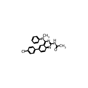 CC(=O)Nc1nc(N(C)c2ccccc2)c2cc(-c3ccc(Cl)cc3)ccc2n1